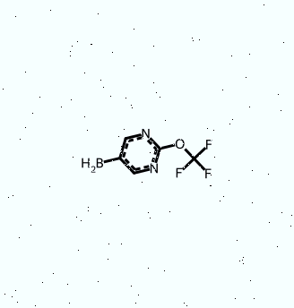 Bc1cnc(OC(F)(F)F)nc1